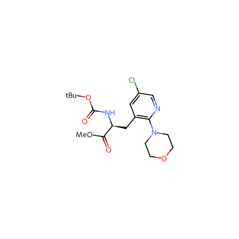 COC(=O)[C@H](Cc1cc(Cl)cnc1N1CCOCC1)NC(=O)OC(C)(C)C